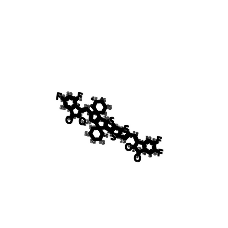 O=C1C(=O)c2cc(F)c(F)cc2/C1=C/c1cc2sc3c4c(sc3c2s1)C1=C(C=C(/C=C2\C(=O)C(=O)c3cc(F)cc(F)c32)C12CCCCC2)C41CCCCC1